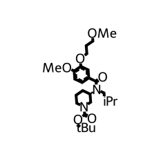 COCCCOc1cc(C(=O)N(CC(C)C)[C@@H]2CCCN(C(=O)OC(C)(C)C)C2)ccc1OC